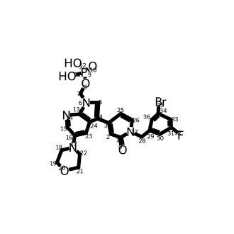 O=c1cc(-c2cn(COP(=O)(O)O)c3ncc(N4CCOCC4)cc23)ccn1Cc1cc(F)cc(Br)c1